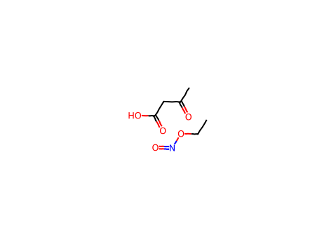 CC(=O)CC(=O)O.CCON=O